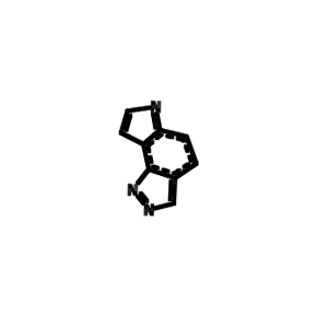 C1=Cc2c3c(ccc2=N1)=CN=N3